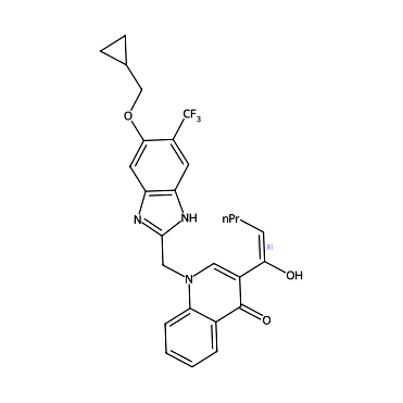 CCC/C=C(/O)c1cn(Cc2nc3cc(OCC4CC4)c(C(F)(F)F)cc3[nH]2)c2ccccc2c1=O